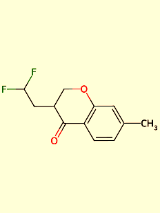 Cc1ccc2c(c1)OCC(CC(F)F)C2=O